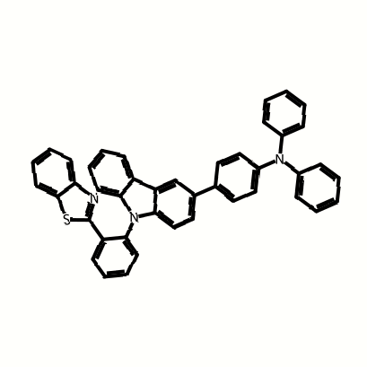 c1ccc(N(c2ccccc2)c2ccc(-c3ccc4c(c3)c3ccccc3n4-c3ccccc3-c3nc4ccccc4s3)cc2)cc1